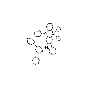 c1ccc(-c2cc(-c3ccccc3)cc(-n3c4ccccc4c4cc5c(cc43)N(c3ccccc3)c3ccccc3[Si]53c4ccccc4-c4ccccc43)c2)cc1